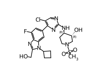 CS(=O)(=O)N1CC[C@@H](Nc2ncc(Cl)c(-c3cc(F)c4nc(CO)n(C5CCC5)c4c3)n2)[C@H](O)C1